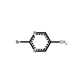 [CH2]c1cnc(Br)nc1